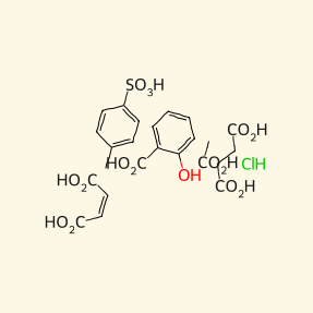 CC(=O)O.Cc1ccc(S(=O)(=O)O)cc1.Cl.O=C(O)/C=C\C(=O)O.O=C(O)CCC(=O)O.O=C(O)c1ccccc1O